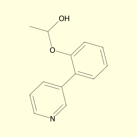 CC(O)Oc1ccccc1-c1cccnc1